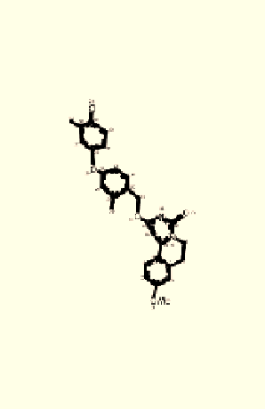 COc1ccc2c(c1)CCn1c-2cc(OCc2ccc(Oc3ccc(Cl)c(C)c3)cc2C)nc1=O